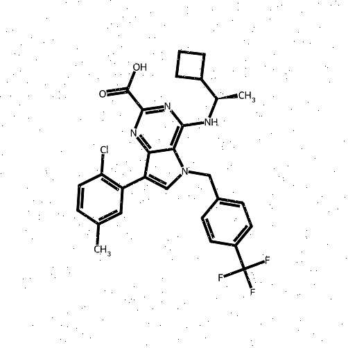 Cc1ccc(Cl)c(-c2cn(Cc3ccc(C(F)(F)F)cc3)c3c(N[C@H](C)C4CCC4)nc(C(=O)O)nc23)c1